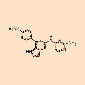 CC(=O)Nc1ccc(-c2cc(Nc3ccnc(N)n3)cc3cn[nH]c23)cc1